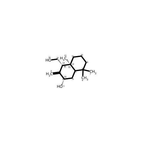 C=C1[C@@H](O)CC2C(C)(C)CCC[C@]2(C)[C@H]1CO